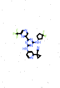 N#CC1(c2cc(Nc3nc(N[C@H]4CCC(F)(F)C4)nc(-c4cncc(C(F)(F)F)n4)n3)ccn2)CC1